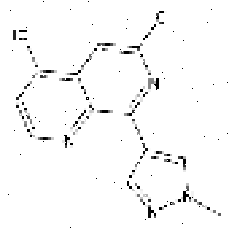 Cn1cc(-c2nc(Cl)cc3c(O)ccnc23)cn1